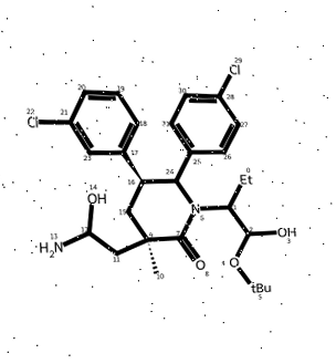 CCC(C(O)OC(C)(C)C)N1C(=O)[C@@](C)(CC(N)O)C[C@@H](c2cccc(Cl)c2)C1c1ccc(Cl)cc1